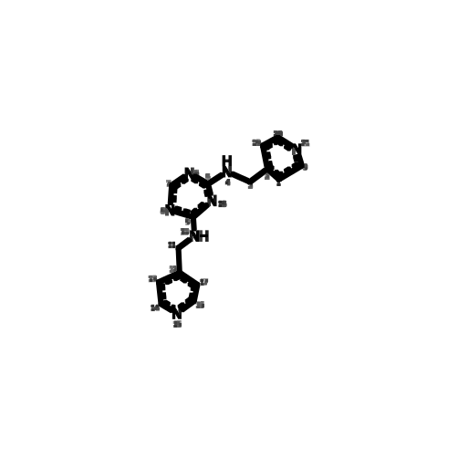 c1cc(CNc2ncnc(NCc3ccncc3)n2)ccn1